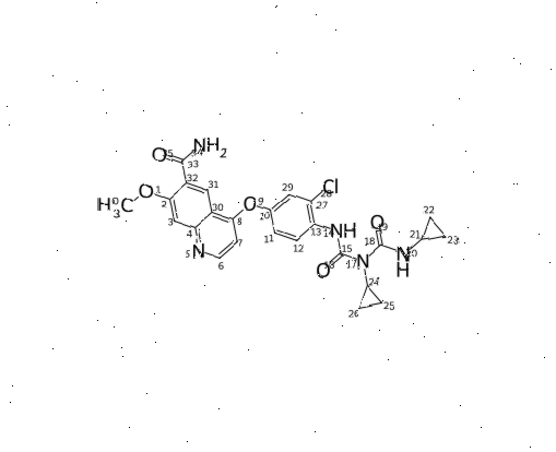 COc1cc2nccc(Oc3ccc(NC(=O)N(C(=O)NC4CC4)C4CC4)c(Cl)c3)c2cc1C(N)=O